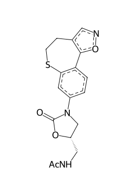 CC(=O)NC[C@H]1CN(c2ccc3c(c2)SCCc2cnoc2-3)C(=O)O1